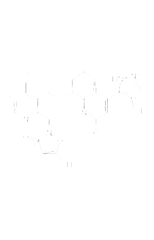 Cc1cc(-c2[nH]ncc2C)c2cccc(OCc3c(Cl)ccnc3Cn3oc(C)cc3=O)c2n1